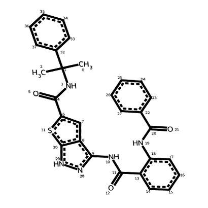 CC(C)(NC(=O)c1cc2c(NC(=O)c3ccccc3NC(=O)c3ccccc3)n[nH]c2s1)c1ccccc1